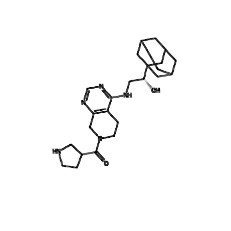 O=C(C1CCNC1)N1CCc2c(ncnc2NC[C@@H](O)C23CC4CC(CC(C4)C2)C3)C1